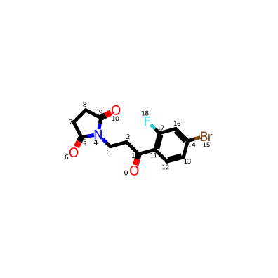 O=C(CCN1C(=O)CCC1=O)c1ccc(Br)cc1F